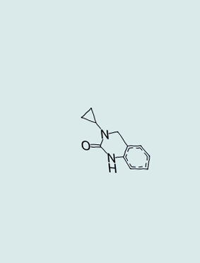 O=C1Nc2ccccc2CN1C1CC1